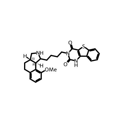 COc1cccc2c1[C@@H]1C(CCCCn3c(=O)[nH]c4c(sc5ccccc54)c3=O)NC[C@H]1CC2